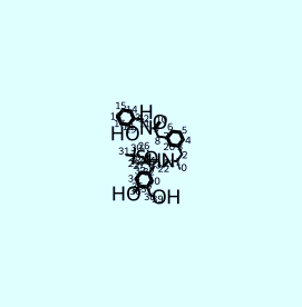 C[C@H](Cc1cccc(CC(=O)NCc2ccccc2O)c1)NC[C@@H](O[Si](C)(C)C(C)(C)C)c1ccc(O)c(CO)c1